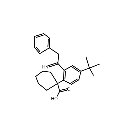 CC(C)(C)c1ccc(C2(C(=O)O)CCCCC2)c(C(=N)Cc2ccccc2)c1